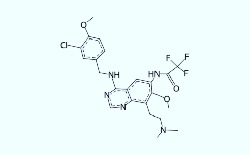 COc1ccc(CNc2ncnc3c(CCN(C)C)c(OC)c(NC(=O)C(F)(F)F)cc23)cc1Cl